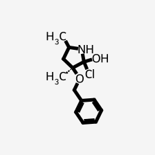 CC1C[C@](C)(OCc2ccccc2)C(O)(Cl)N1